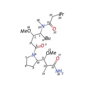 CCC(C)C(C(CC(=O)N1CCCC1C(OC)C(C)C(N)=O)OC)N(C)C(=O)CC(C)C